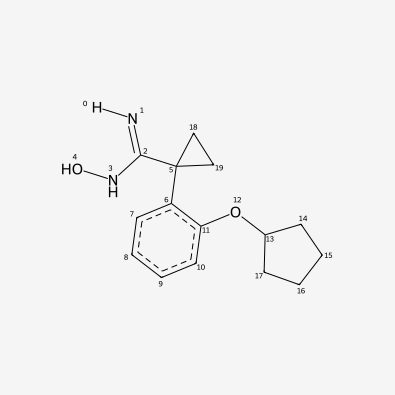 [H]/N=C(\NO)C1(c2ccccc2OC2CCCC2)CC1